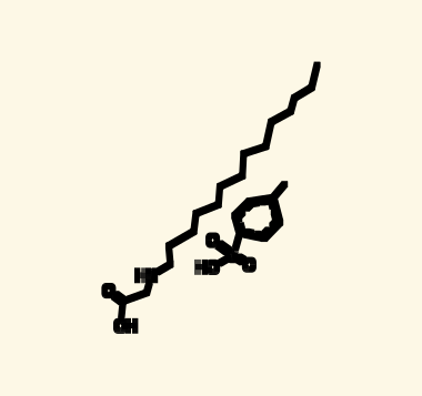 CCCCCCCCCCCCCCNCC(=O)O.Cc1ccc(S(=O)(=O)O)cc1